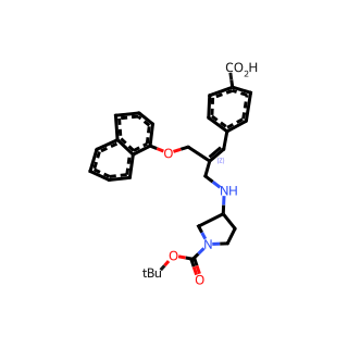 CC(C)(C)OC(=O)N1CCC(NC/C(=C/c2ccc(C(=O)O)cc2)COc2cccc3ccccc23)C1